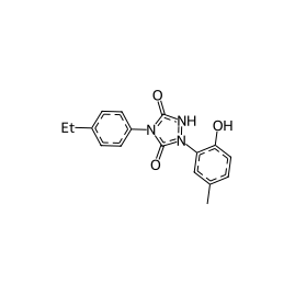 CCc1ccc(-n2c(=O)[nH]n(-c3cc(C)ccc3O)c2=O)cc1